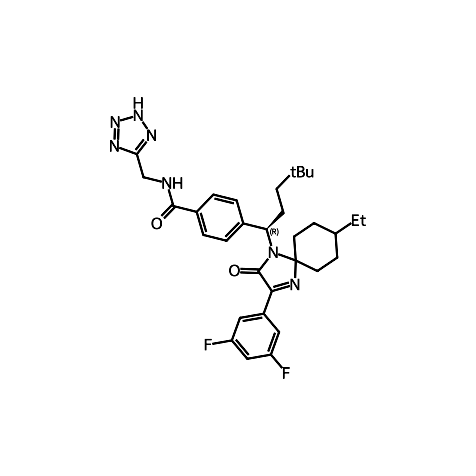 CCC1CCC2(CC1)N=C(c1cc(F)cc(F)c1)C(=O)N2[C@H](CCC(C)(C)C)c1ccc(C(=O)NCc2nn[nH]n2)cc1